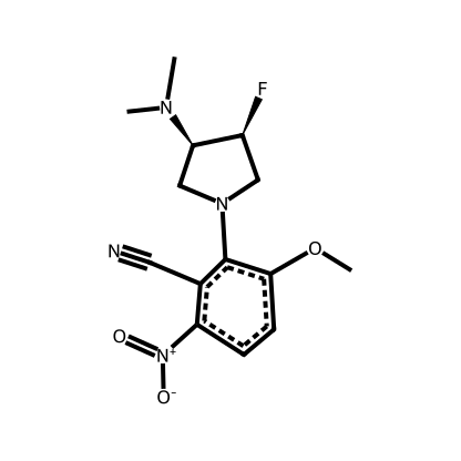 COc1ccc([N+](=O)[O-])c(C#N)c1N1C[C@@H](N(C)C)[C@@H](F)C1